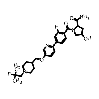 CC(C)(F)CN1CCC(COc2ccc(-c3ccc(C(=O)N4CC(O)CC4C(N)=O)c(F)c3)nc2)CC1